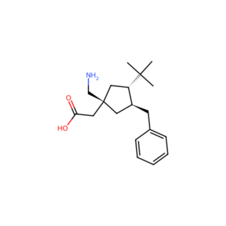 CC(C)(C)[C@H]1C[C@@](CN)(CC(=O)O)C[C@@H]1Cc1ccccc1